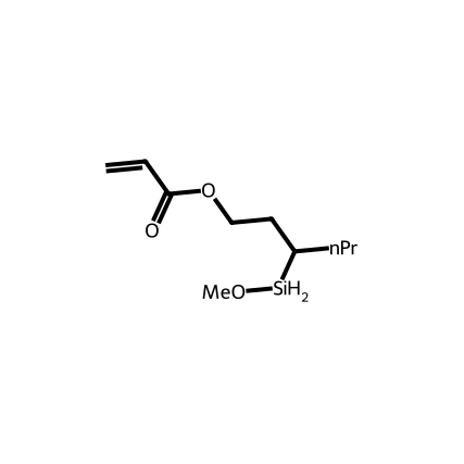 C=CC(=O)OCCC(CCC)[SiH2]OC